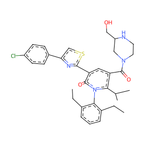 CCc1cccc(CC)c1-n1c(C(C)C)c(C(=O)N2CCNC(CO)C2)cc(-c2nc(-c3ccc(Cl)cc3)cs2)c1=O